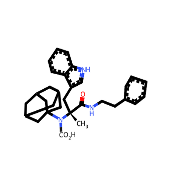 C[C@@](Cc1c[nH]c2ccccc12)(C(=O)NCCc1ccccc1)N(C(=O)O)C12CC3CC(CC(C3)C1)C2